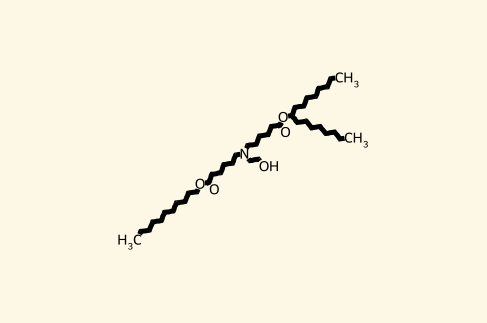 CCCCCCCCCCCOC(=O)CCCCCN(CCO)CCCCCC(=O)OC(CCCCCCCC)CCCCCCCC